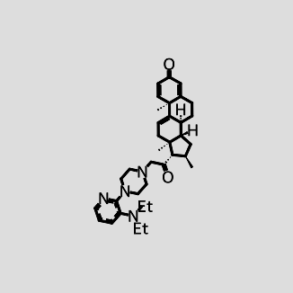 CCN(CC)c1cccnc1N1CCN(CC(=O)[C@H]2[C@H](C)C[C@H]3[C@@H]4CCC5=CC(=O)C=C[C@]5(C)C4=CC[C@@]32C)CC1